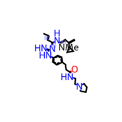 C=C(/C=C(\NC)NC(/C=C/C)=N/C(=N)Nc1ccc(CCC(=O)NCCN2CCCC2)cc1)C1CC1